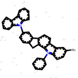 CC(C)(C)c1ccc2c(c1)c1ccc3c(c1n2-c1ccccc1)Cc1ccc(-n2c4ccccc4c4ccccc42)cc1-3